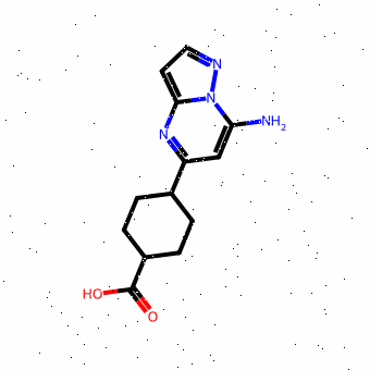 Nc1cc(C2CCC(C(=O)O)CC2)nc2ccnn12